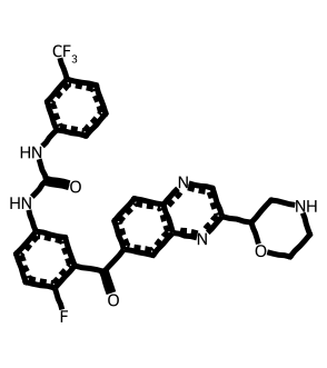 O=C(Nc1cccc(C(F)(F)F)c1)Nc1ccc(F)c(C(=O)c2ccc3ncc(C4CNCCO4)nc3c2)c1